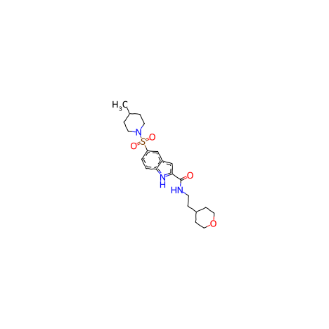 CC1CCN(S(=O)(=O)c2ccc3[nH]c(C(=O)NCCC4CCOCC4)cc3c2)CC1